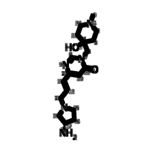 CN1CCC(O)(Cn2cnc(/C=C/CN3CC[C@H](N)C3)cc2=O)CC1